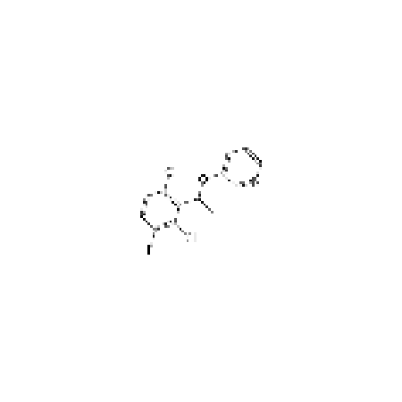 CC(Oc1cccnc1)c1c(Cl)ccc(F)c1Cl